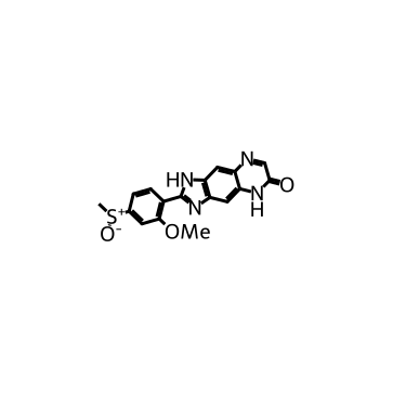 COc1cc([S+](C)[O-])ccc1-c1nc2cc3[nH]c(=O)cnc3cc2[nH]1